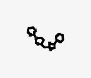 c1ccc(-c2cnn(CC3CCN(c4ncccn4)CC3)n2)cc1